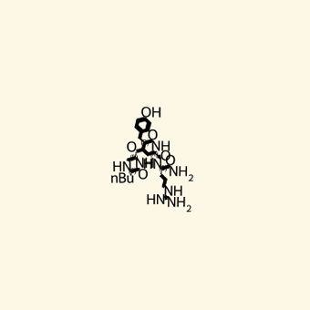 CCCC[C@@H]1NC[C@H](C(=O)C2C[C@H](C(=O)N[C@@H](CCCNC(=N)N)C(N)=O)NC(=O)[C@@H]2Cc2ccc(O)cc2)NC1=O